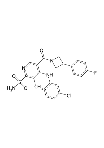 Cc1c(S(N)(=O)=O)ncc(C(=O)N2CC(c3ccc(F)cc3)C2)c1Nc1cccc(Cl)c1